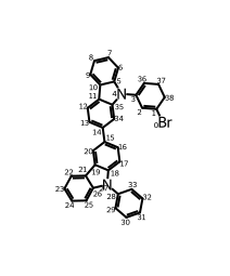 BrC1=CC(n2c3ccccc3c3ccc(-c4ccc5c(c4)c4ccccc4n5-c4ccccc4)cc32)=CCC1